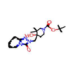 CC(C)(C)OC(=O)N1CCC(O)(Cn2nc3ccccn3c2=O)C(C)(C)C1